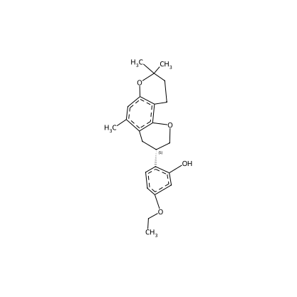 CCOc1ccc([C@H]2COc3c(c(C)cc4c3CCC(C)(C)O4)C2)c(O)c1